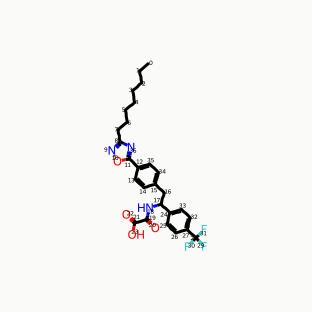 CCCCCCCCc1noc(-c2ccc(CC(NC(=O)C(=O)O)c3ccc(C(F)(F)F)cc3)cc2)n1